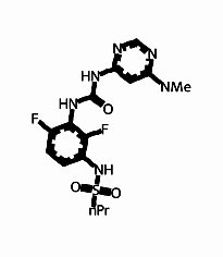 CCCS(=O)(=O)Nc1ccc(F)c(NC(=O)Nc2cc(NC)ncn2)c1F